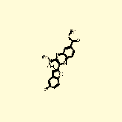 CC(C)SC(=O)c1ccc2nc(-c3cc4cc(F)ccc4o3)c(N(C)C(C)C)nc2c1